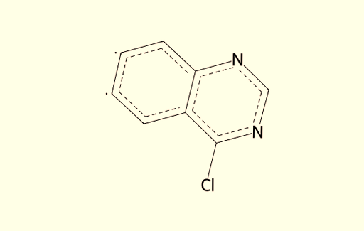 Clc1ncnc2c[c][c]cc12